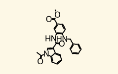 COC(=O)c1ccc(NCc2ccccc2)c(NC(=O)c2cn(C(C)=O)c3ccccc23)c1